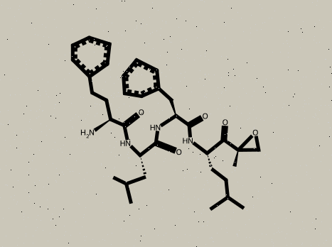 CC(C)CC[C@H](NC(=O)[C@H](Cc1ccccc1)NC(=O)[C@H](CC(C)C)NC(=O)[C@@H](N)CCc1ccccc1)C(=O)[C@@]1(C)CO1